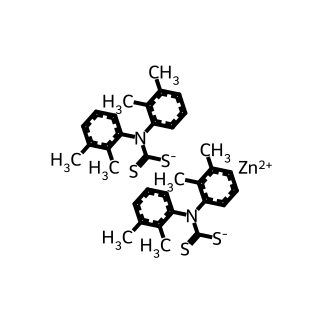 Cc1cccc(N(C(=S)[S-])c2cccc(C)c2C)c1C.Cc1cccc(N(C(=S)[S-])c2cccc(C)c2C)c1C.[Zn+2]